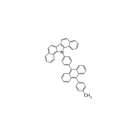 Cc1ccc(-c2c3ccccc3c(-c3ccc(-n4c5c6ccccc6ccc5c5ccc6ccccc6c54)cc3)c3ccccc23)cc1